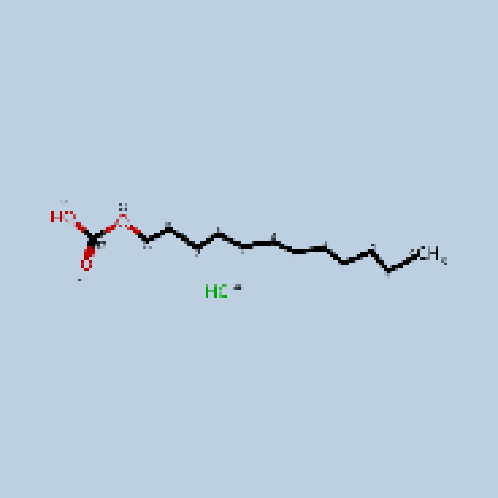 CCCCCCCCCCCCOC(=O)O.Cl